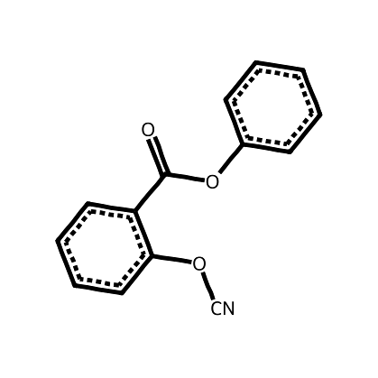 N#COc1ccccc1C(=O)Oc1ccccc1